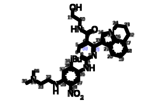 C=C(/N=C(\C(=C/C)C(=O)NCCO)c1cn2c3c(cccc13)CCC2)Nc1cc([N+](=O)[O-])c(NCCN(C)C)cc1C(C)CC